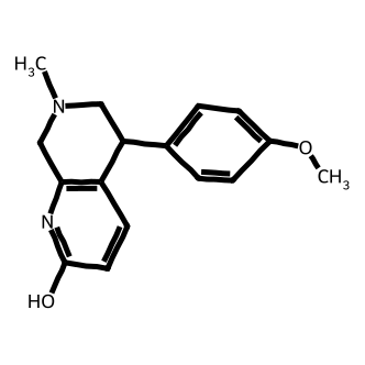 COc1ccc(C2CN(C)Cc3nc(O)ccc32)cc1